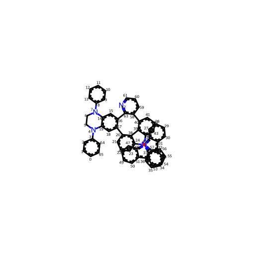 c1ccc(N2CCN(c3ccccc3)c3cc4c(cc32)-c2cccc(-n3c5ccccc5c5ccccc53)c2-c2c(cccc2-n2c3ccccc3c3ccccc32)-c2cccnc2-4)cc1